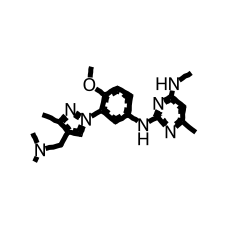 CNc1cc(C)nc(Nc2ccc(OC)c(-n3cc(CN(C)C)c(C)n3)c2)n1